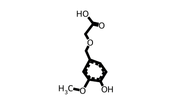 COc1cc(COCC(=O)O)ccc1O